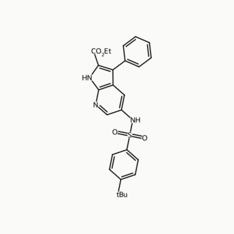 CCOC(=O)c1[nH]c2ncc(NS(=O)(=O)c3ccc(C(C)(C)C)cc3)cc2c1-c1ccccc1